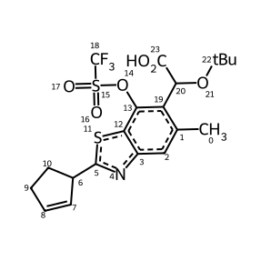 Cc1cc2nc(C3C=CCC3)sc2c(OS(=O)(=O)C(F)(F)F)c1C(OC(C)(C)C)C(=O)O